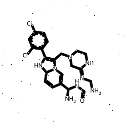 NC/N=C1/CN(CC2=C(c3ccc(Cl)cc3Cl)NC3C=CC(C(N)NC=O)=CN23)CCN1